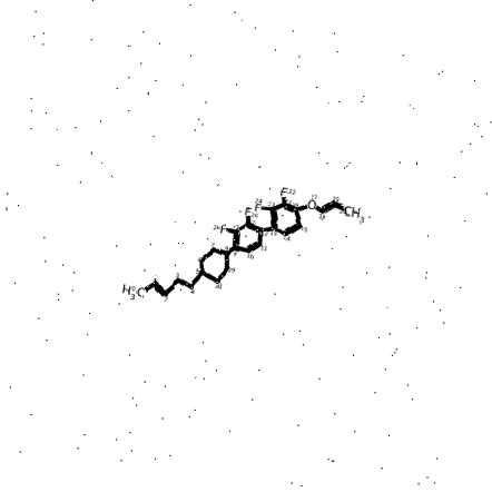 C/C=C/CCC1CCC(c2ccc(-c3ccc(O/C=C/C)c(F)c3F)c(F)c2F)CC1